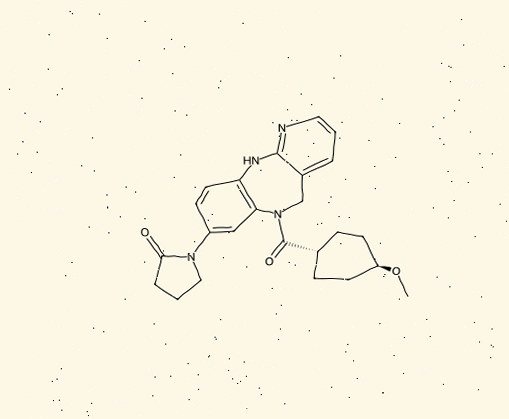 CO[C@H]1CC[C@H](C(=O)N2Cc3cccnc3Nc3ccc(N4CCCC4=O)cc32)CC1